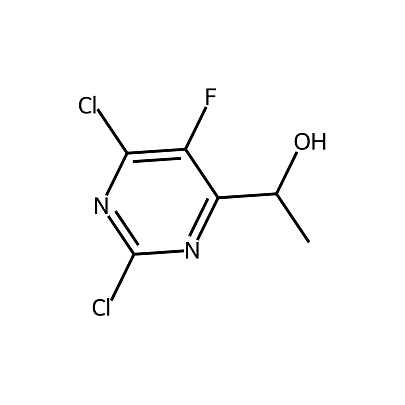 CC(O)c1nc(Cl)nc(Cl)c1F